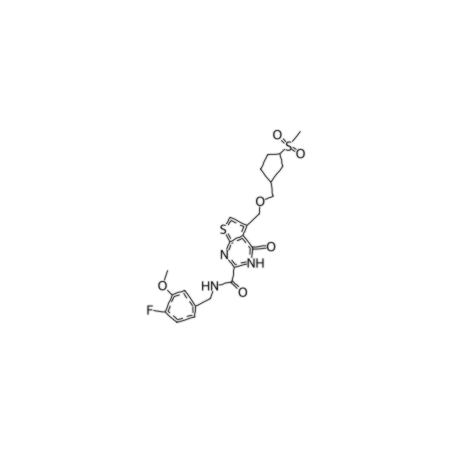 COc1cc(CNC(=O)c2nc3scc(COCC4CCC(S(C)(=O)=O)C4)c3c(=O)[nH]2)ccc1F